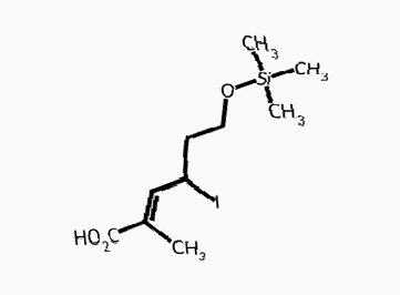 CC(=CC(I)CCO[Si](C)(C)C)C(=O)O